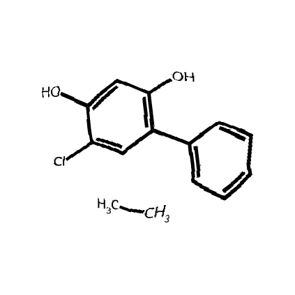 CC.Oc1cc(O)c(-c2ccccc2)cc1Cl